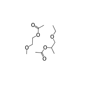 CCOCC(C)OC(C)=O.COCCOC(C)=O